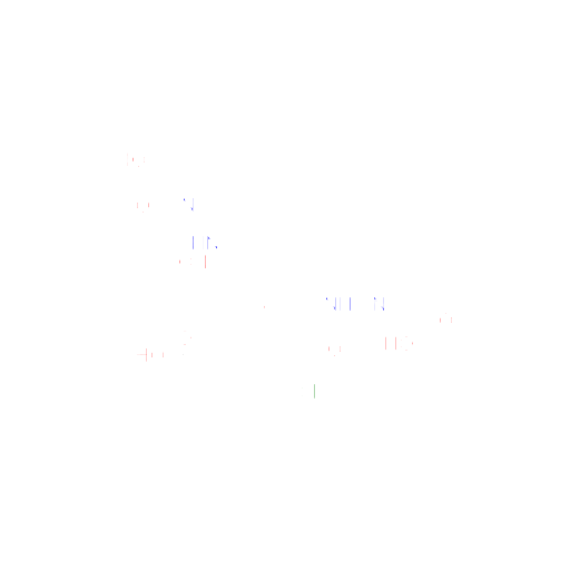 O=C(O)c1ccc2cccc(NCc3c4oc5c(CNc6cccc7ccc(C(=O)O)nc67)c(O)ccc5c(-c5ccccc5C(=O)O)c-4cc(Cl)c3=O)c2n1